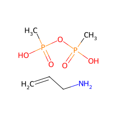 C=CCN.CP(=O)(O)OP(C)(=O)O